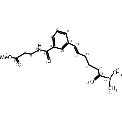 COC(=O)CCNC(=O)c1cccc(/C=C/CCCC(=O)N(C)C)c1